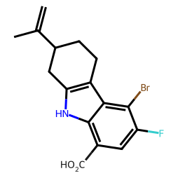 C=C(C)C1CCc2c([nH]c3c(C(=O)O)cc(F)c(Br)c23)C1